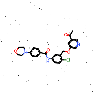 CC(=O)c1cncc(OCc2cc(NC(=O)c3ccc(N4CCOCC4)cc3)ccc2Cl)c1